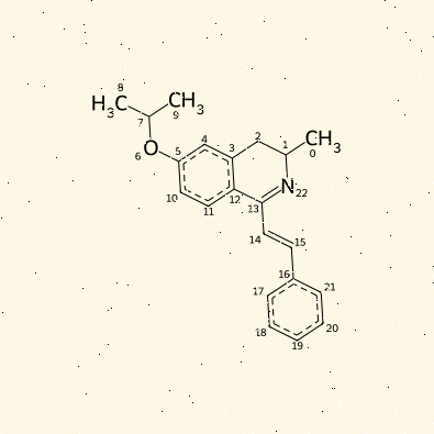 CC1Cc2cc(OC(C)C)ccc2C(C=Cc2ccccc2)=N1